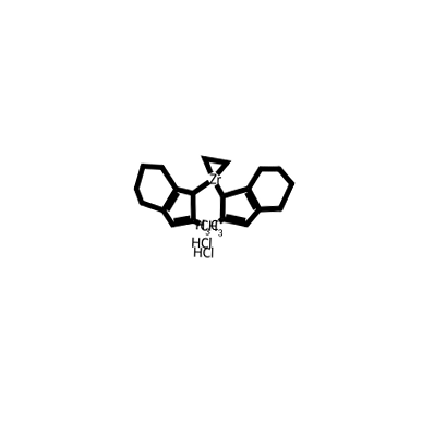 CC1=CC2=C(CCCC2)[CH]1[Zr]1([CH]2C(C)=CC3=C2CCCC3)[CH2][CH2]1.Cl.Cl